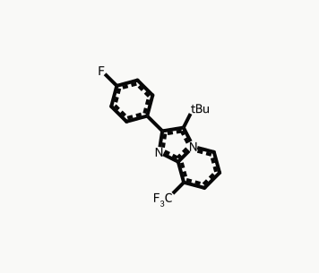 CC(C)(C)c1c(-c2ccc(F)cc2)nc2c(C(F)(F)F)cccn12